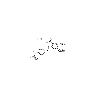 COc1cc2c(Cc3ccc(N(C)[SH](=O)=O)cc3)nn(C)c(=O)c2cc1OC.Cl